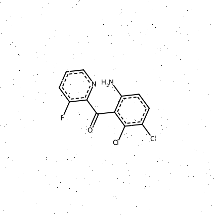 Nc1ccc(Cl)c(Cl)c1C(=O)c1ncccc1F